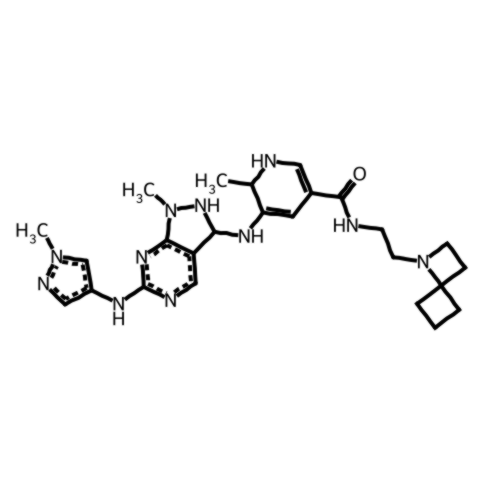 CC1NC=C(C(=O)NCCN2CCC23CCC3)C=C1NC1NN(C)c2nc(Nc3cnn(C)c3)ncc21